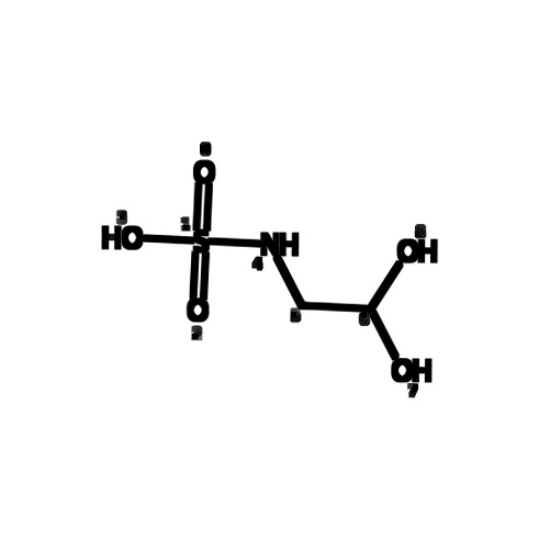 O=S(=O)(O)NCC(O)O